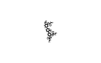 C=CC(=O)Oc1cc(-c2ccc(-c3ccc(OC(=O)C=C)c(OC(=O)C=C)c3)c(F)c2)ccc1OC